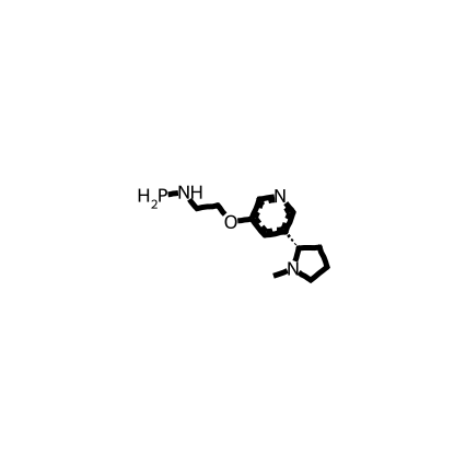 CN1CCC[C@H]1c1cncc(OCCNP)c1